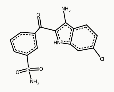 Nc1c(C(=O)c2cccc(S(N)(=O)=O)c2)[nH]c2cc(Cl)ccc12